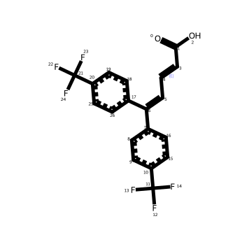 O=C(O)/C=C/C=C(c1ccc(C(F)(F)F)cc1)c1ccc(C(F)(F)F)cc1